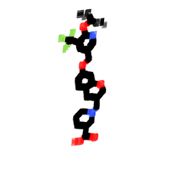 CC(C)Oc1ncc(COc2ccc3c(c2)OCC(CN2CCC=C(C(=O)O)C2)=C3)cc1C(F)(F)F